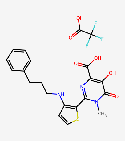 Cn1c(-c2sccc2NCCCc2ccccc2)nc(C(=O)O)c(O)c1=O.O=C(O)C(F)(F)F